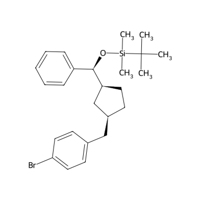 CC(C)(C)[Si](C)(C)O[C@H](c1ccccc1)[C@H]1CC[C@@H](Cc2ccc(Br)cc2)C1